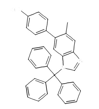 Cc1cc2ncn(C(c3ccccc3)(c3ccccc3)c3ccccc3)c2cc1-c1ccc(C=O)cc1